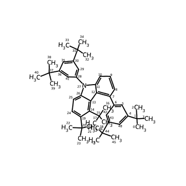 CC(C)(C)c1cc(-c2cccc3c2c2c(C(C)(C)C)c(C(C)(C)C)ccc2n3-c2cc(C(C)(C)C)cc(C(C)(C)C)c2)cc(C(C)(C)C)c1